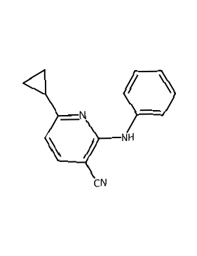 N#Cc1ccc(C2CC2)nc1Nc1ccccc1